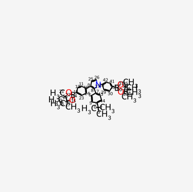 CC(C)(C)c1ccc(-c2c(-c3ccc(B4OC(C)(C)C(C)(C)O4)cc3)ccn2-c2ccc(B3OC(C)(C)C(C)(C)O3)cc2)cc1